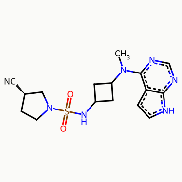 CN(c1ncnc2[nH]ccc12)C1CC(NS(=O)(=O)N2CC[C@@H](C#N)C2)C1